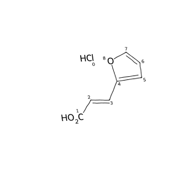 Cl.O=C(O)C=Cc1ccco1